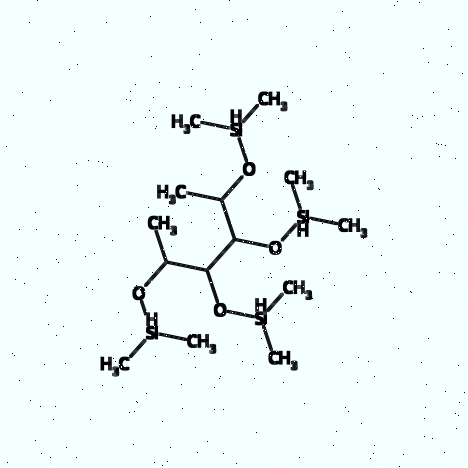 CC(O[SiH](C)C)C(O[SiH](C)C)C(O[SiH](C)C)C(C)O[SiH](C)C